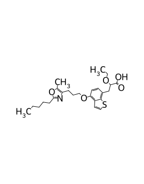 CCCCCc1nc(CCCOc2ccc(CC(OCC)C(=O)O)c3sccc23)c(C)o1